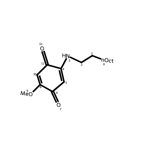 CCCCCCCCCCNC1=CC(=O)C(OC)=CC1=O